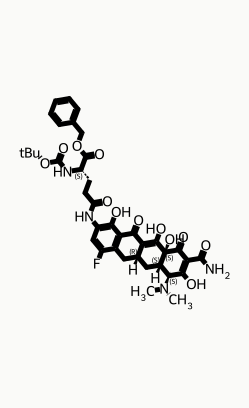 CN(C)[C@@H]1C(O)=C(C(N)=O)C(=O)[C@@]2(O)C(O)=C3C(=O)c4c(O)c(NC(=O)CC[C@H](NC(=O)OC(C)(C)C)C(=O)OCc5ccccc5)cc(F)c4C[C@H]3C[C@@H]12